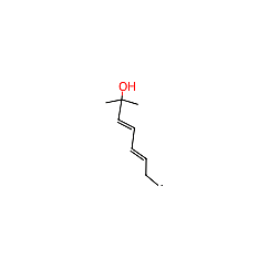 [CH2]CC=CC=CC(C)(C)O